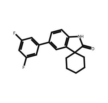 O=C1Nc2ccc(-c3cc(F)cc(F)c3)cc2C12CCCCC2